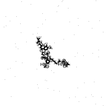 COc1ccc2c(O[C@@H]3C[C@@H](C(N)=O)N(C(=O)[C@H](CCCCC/C=C\[C@@H]4C[C@@H]4C(=O)NS(=O)(=O)C4(C)CC4)Nc4cccc(NC(C)=O)c4)C3)cc(-c3nc(C(C)C)cs3)nc2c1C